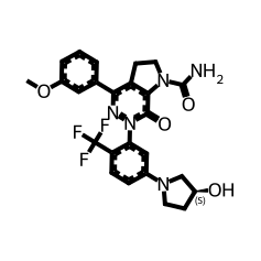 COc1cccc(-c2nn(-c3cc(N4CC[C@H](O)C4)ccc3C(F)(F)F)c(=O)c3c2CCN3C(N)=O)c1